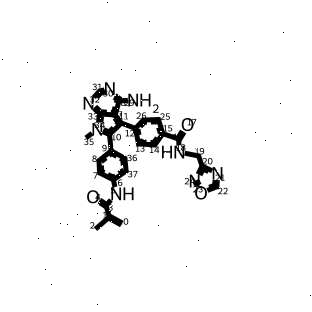 C=C(C)C(=O)Nc1ccc(-c2c(-c3ccc(C(=O)NCc4ncon4)cc3)c3c(N)ncnc3n2C)cc1